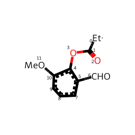 C[CH]C(=O)Oc1c(C=O)cccc1OC